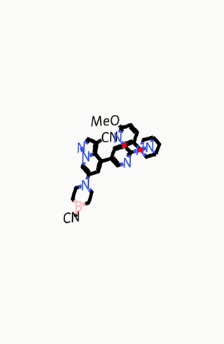 COc1ccc(CN2C3CC2CN(c2ccc(-c4cc(N5CCB(C#N)CC5)cn5ncc(C#N)c45)cn2)C3)cn1